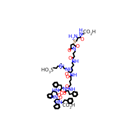 C[N+](C)(CCCS(=O)(=O)O)CCNC(=O)C(CCCCNC(=O)CCCN1C(=O)CC(SCC(N)C(=O)NCC(=O)O)C1=O)NC(=O)CCCC(=O)NC(Cc1ccccc1)C(=O)NC(Cc1ccccc1)C(=O)NC(Cc1ccccc1)C(=O)NC(Cc1ccccc1)C(=O)NC(Cc1ccccc1)C(=O)O